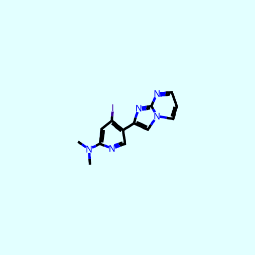 CN(C)c1cc(I)c(-c2cn3cccnc3n2)cn1